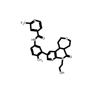 Cc1ccc(NC(=O)c2ccnc(C(F)(F)F)c2)cc1-c1cnc2c(c1)C1CCOCCC1C(=O)N2CCO